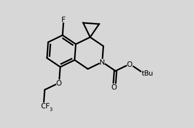 CC(C)(C)OC(=O)N1Cc2c(OCC(F)(F)F)ccc(F)c2C2(CC2)C1